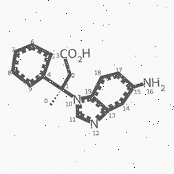 C[C@@](CC(=O)O)(c1ccccc1)n1cnc2cc(N)ccc21